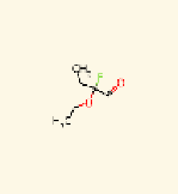 CCOC(F)(C=O)CC